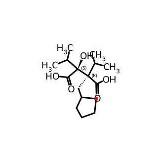 CC(C)[C@@](O)(C(=O)O)[C@](CC1CCCC1)(C(=O)O)C(C)C